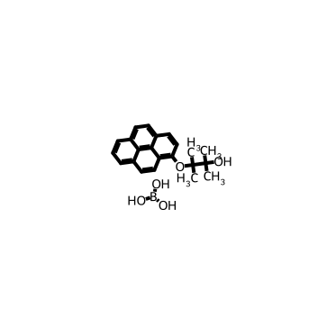 CC(C)(O)C(C)(C)Oc1ccc2ccc3cccc4ccc1c2c34.OB(O)O